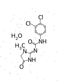 CN1CC(=O)NC1=NC(=O)Nc1ccc(Cl)c(Cl)c1.O